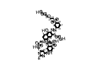 O=S(=O)(O)CNc1ccc2c(O)c(/N=N/c3cccc(S(=O)(=O)CCOSOOO)c3)c(SOOO)cc2c1/N=N/c1cc(Nc2cc(F)nc(F)n2)ccc1S(=O)(=O)O